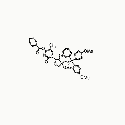 COc1ccc(C(SCC2(OC)COC(n3cc(C)c(OC(=O)c4ccccc4)nc3=O)C2O)(c2ccccc2)c2ccc(OC)cc2)cc1